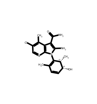 CC1=C(n2c(N)c(C(N)=O)c3c(C)c(Cl)cnc32)[C@H](C)[C@H](O)C=C1